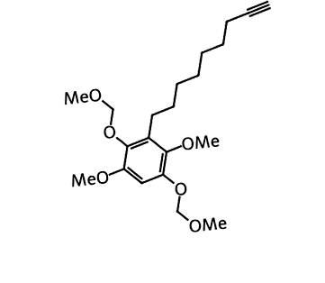 C#CCCCCCCCc1c(OC)c(OCOC)cc(OC)c1OCOC